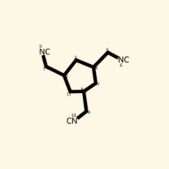 [C-]#[N+]CC1CC(C[N+]#[C-])CC(C[N+]#[C-])C1